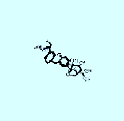 CC/C(=N\OC)c1ccc(Cc2cc([C@]34OC[C@](CO)(O3)[C@@H](O)[C@H](O)[C@H]4O)ccc2Cl)cc1